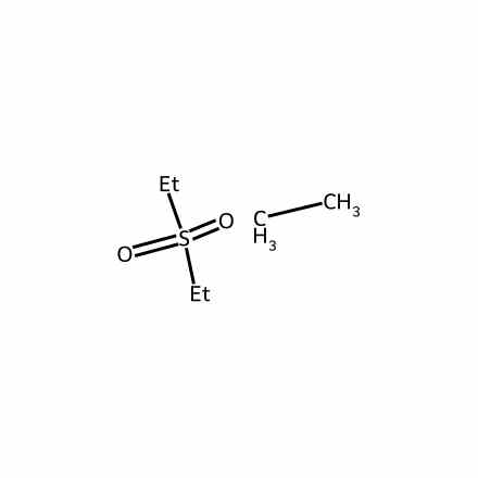 CC.CCS(=O)(=O)CC